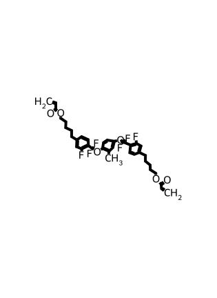 C=CC(=O)OCCCCCc1ccc(C(F)(F)Oc2ccc(OC(F)(F)c3ccc(CCCCCOC(=O)C=C)cc3F)c(C)c2)c(F)c1